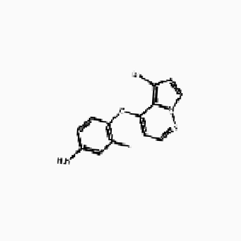 Cc1cc(N)ccc1Oc1ccnn2ccc(Br)c12